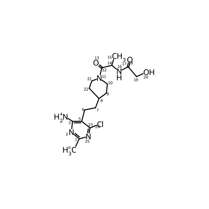 Cc1nc(N)c(CCC2CCN(C(=O)C(C)NC(=O)CO)CC2)c(Cl)n1